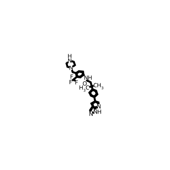 CC(C)(CC(=O)Nc1ccc(CN2CCNCC2)c(C(F)(F)F)c1)c1ccc(-c2cnc3[nH]ncc3c2)cc1